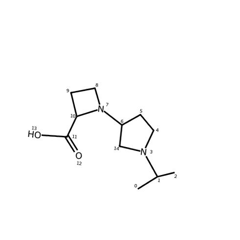 CC(C)N1CCC(N2CCC2C(=O)O)C1